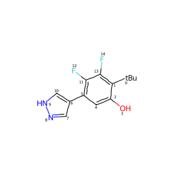 CC(C)(C)c1c(O)cc(-c2cn[nH]c2)c(F)c1F